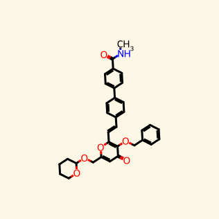 CNC(=O)c1ccc(-c2ccc(C=Cc3oc(COC4CCCCO4)cc(=O)c3OCc3ccccc3)cc2)cc1